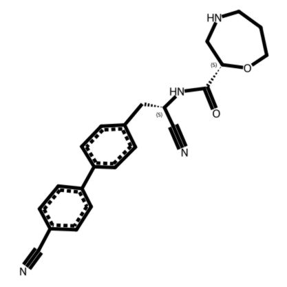 N#Cc1ccc(-c2ccc(C[C@@H](C#N)NC(=O)[C@@H]3CNCCCO3)cc2)cc1